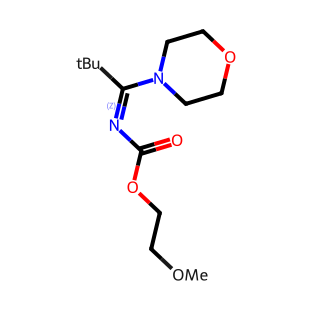 COCCOC(=O)/N=C(\N1CCOCC1)C(C)(C)C